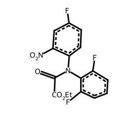 CCOC(=O)C(=O)N(c1ccc(F)cc1[N+](=O)[O-])c1c(F)cccc1F